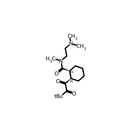 CN(C)CCN(C)C(=O)[C@H]1CCCC[C@H]1C(=O)C(=O)C(C)(C)C